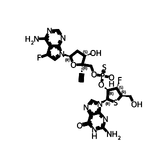 C#C[C@]1(COP(O)(=S)O[C@@H]2[C@H](F)[C@@H](CO)S[C@H]2n2cnc3c(=O)[nH]c(N)nc32)O[C@@H](n2cc(F)c3c(N)ncnc32)C[C@@H]1O